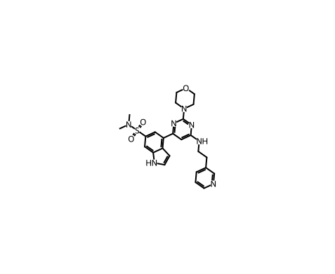 CN(C)S(=O)(=O)c1cc(-c2cc(NCCc3cccnc3)nc(N3CCOCC3)n2)c2cc[nH]c2c1